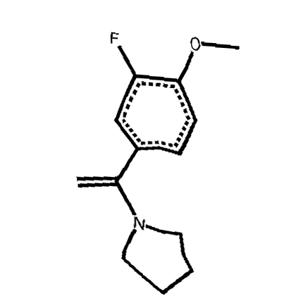 C=C(c1ccc(OC)c(F)c1)N1CCCC1